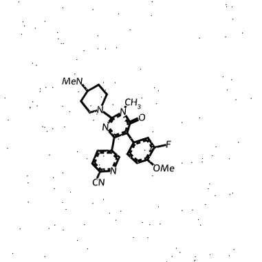 CNC1CCN(c2nc(-c3ccc(C#N)nc3)c(-c3ccc(OC)c(F)c3)c(=O)n2C)CC1